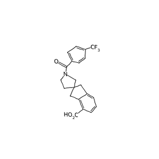 O=C(O)c1cccc2c1CC1(CCN(C(=O)c3ccc(C(F)(F)F)cc3)C1)C2